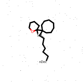 CCCCCCCCCCCCCCCCC1(C2([SiH3])CCCCO2)CCCCCCC1